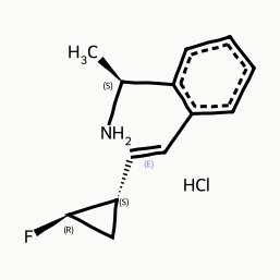 C[C@H](N)c1ccccc1/C=C/[C@@H]1C[C@H]1F.Cl